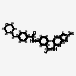 CCn1cc2ncc(N[C@@H](C)c3cccc(NC(=O)c4ccc(CN5CCOCC5)cc4)c3)nc2n1